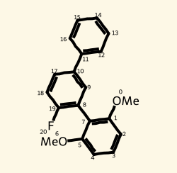 COc1cccc(OC)c1-c1cc(-c2ccccc2)ccc1F